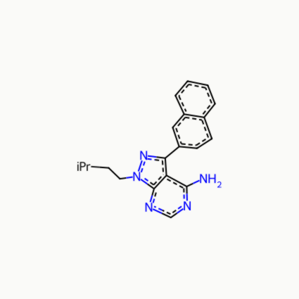 CC(C)CCn1nc(-c2ccc3ccccc3c2)c2c(N)ncnc21